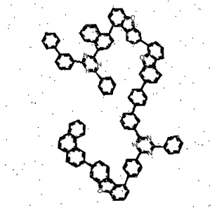 c1ccc(-c2cccc(-c3nc(-c4ccccc4)nc(-c4ccc(-c5cccc6oc7cc(-c8cccc9c8oc8cc(-c%10ccc(-c%11cccc(-c%12nc(-c%13ccccc%13)nc(-c%13ccc(-c%14cccc%15oc%16cc(-c%17ccc%18ccc%19ccccc%19c%18c%17)ccc%16c%14%15)cc%13)n%12)c%11)cc%10)ccc89)ccc7c56)c5ccccc45)n3)c2)cc1